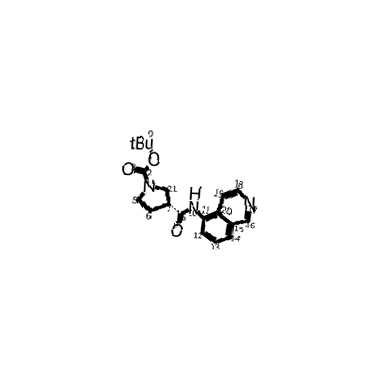 CC(C)(C)OC(=O)N1CC[C@@H](C(=O)Nc2cccc3cnccc23)C1